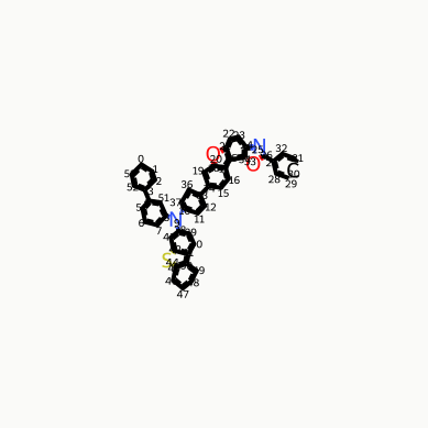 c1ccc(-c2cccc(N(c3ccc(-c4ccc5c(c4)oc4ccc6nc(-c7ccccc7)oc6c45)cc3)c3ccc4c(c3)sc3ccccc34)c2)cc1